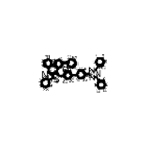 c1ccc(-c2nc(-c3ccccc3)nc(-c3ccc(-c4ccc(-c5sc6c(c(-c7ccccc7)nc7ccccc76)c5-c5cccc6c5oc5ccccc56)cc4)cc3)n2)cc1